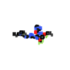 CC(F)Oc1ccc(OC(F)F)c(-c2nn(Cc3cn(C4CN(CC(F)CN(C)C)C4)nn3)cc2NC(=O)c2cnn3cccnc23)c1